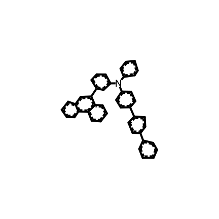 c1ccc(-c2ccc(-c3ccc(N(c4ccccc4)c4cccc(-c5cc6ccccc6c6ccccc56)c4)cc3)cc2)cc1